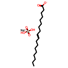 CCCCCCCCC=CCCCCCCCC(=O)[O-].O=S(=O)(O)O.[Na+]